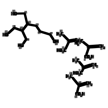 C=C(C)C(=O)O.C=C(C)C(=O)O.C=C(C)C(=O)O.C=C(C)C(=O)O.OCCCC(CO)C(CO)CO